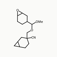 COC(OCC1(C#N)CCC2CC2C1)C1CCC2OC2C1